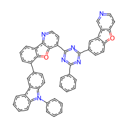 c1ccc(-c2nc(-c3ccc4oc5ccncc5c4c3)nc(-c3ccnc4c3oc3c(-c5ccc6c(c5)c5ccccc5n6-c5ccccc5)cccc34)n2)cc1